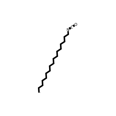 [CH2]CCCCCCCCCCCCCCCCN=C=O